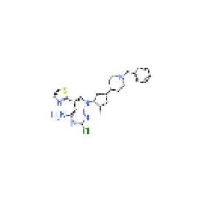 CC1CC(C2CCN(Cc3ccccc3)CC2)CC1n1cc(-c2nccs2)c2c(N)nc(Cl)nc21